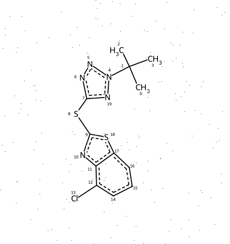 CC(C)(C)n1nnc(Sc2nc3c(Cl)cccc3s2)n1